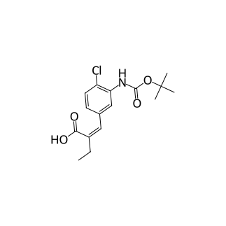 CCC(=Cc1ccc(Cl)c(NC(=O)OC(C)(C)C)c1)C(=O)O